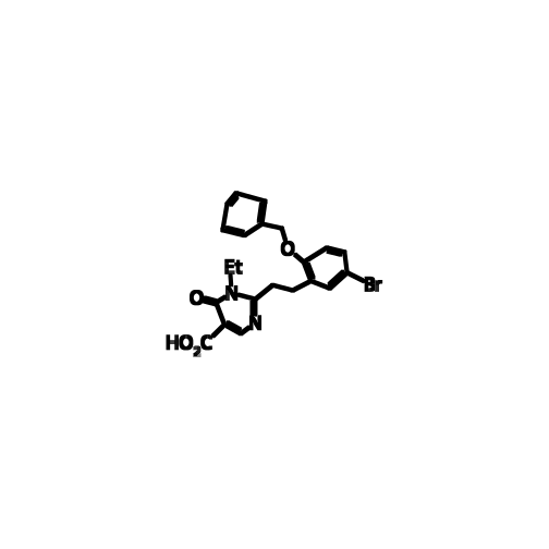 CCn1c(CCc2cc(Br)ccc2OCc2ccccc2)ncc(C(=O)O)c1=O